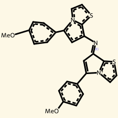 COc1ccc(C2=C/C(=N\c3cc(-c4ccc(OC)cc4)n4ccsc34)c3scc[n+]32)cc1